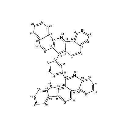 c1cc(-c2c3ccc4ccccc4c3nc3c2ccc2ccccc23)cc(-c2nc3ccccc3c3ccc4c5ccccc5sc4c23)c1